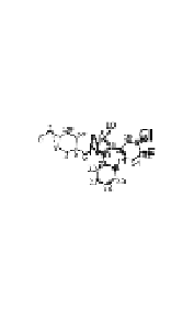 CCC1CCC(Cn2nc(C)c(C3=CCC(F)C(Cl)=C3)c2C2C=CC=CC2)CC1